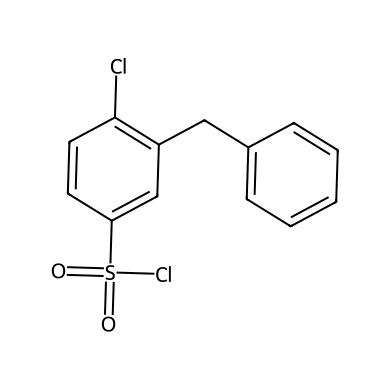 O=S(=O)(Cl)c1ccc(Cl)c(Cc2ccccc2)c1